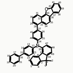 CC1(C)c2ccccc2-c2c(N(c3ccc(-c4ccccc4)cc3)c3ccc(-c4cccc5c4ccc4c6ccccc6oc54)cc3)cccc21